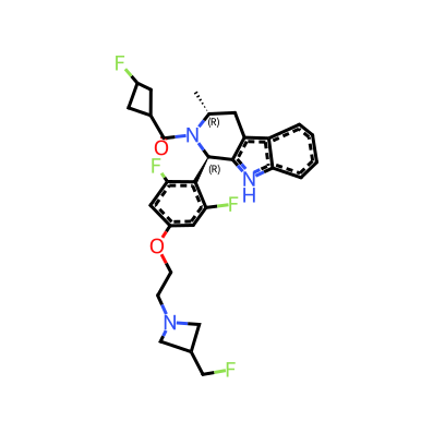 C[C@@H]1Cc2c([nH]c3ccccc23)[C@@H](c2c(F)cc(OCCN3CC(CF)C3)cc2F)N1C(=O)C1CC(F)C1